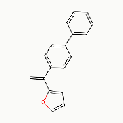 C=C(c1ccc(-c2ccccc2)cc1)c1ccco1